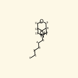 CCCCCCN1CC2COCC(C1)C2O